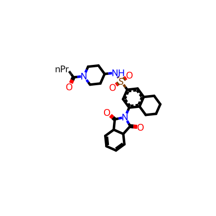 CCCC(=O)N1CCC(NS(=O)(=O)c2cc3c(c(N4C(=O)C5C=CC=CC5C4=O)c2)CCCC3)CC1